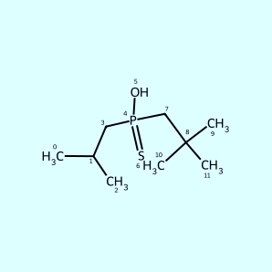 CC(C)CP(O)(=S)CC(C)(C)C